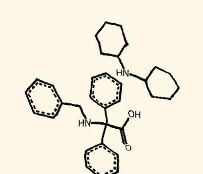 C1CCC(NC2CCCCC2)CC1.O=C(O)C(NCc1ccccc1)(c1ccccc1)c1ccccc1